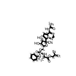 CCCC(=O)Nc1ncnn2c([C@]3(C#N)O[C@H](COP(=O)(N[C@@H](C)C(=O)OCC(CC)CC)Oc4ccccc4)[C@@H](O)[C@H]3O)ccc12